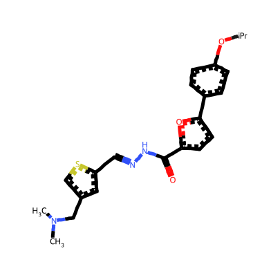 CC(C)Oc1ccc(-c2ccc(C(=O)NN=Cc3cc(CN(C)C)cs3)o2)cc1